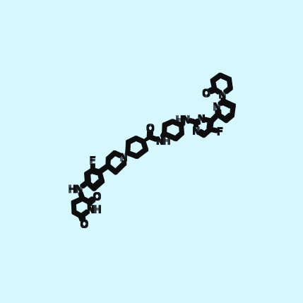 O=C1CCC(Nc2ccc(C3CCN([C@H]4CC[C@H](C(=O)NC5CCC(Nc6ncc(F)c(-c7cccc(N8CCCCC8=O)n7)n6)CC5)CC4)CC3)c(F)c2)C(=O)N1